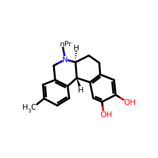 CCCN1Cc2cc(C)ccc2[C@H]2c3cc(O)c(O)cc3CC[C@@H]21